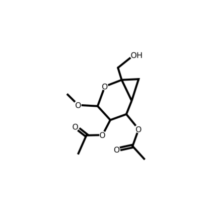 COC1OC2(CO)CC2C(OC(C)=O)C1OC(C)=O